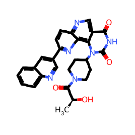 C[C@H](O)C(=O)N1CCC(n2c(=O)[nH]c(=O)c3cnc4ccc(-c5cnc6ccccc6c5)nc4c32)CC1